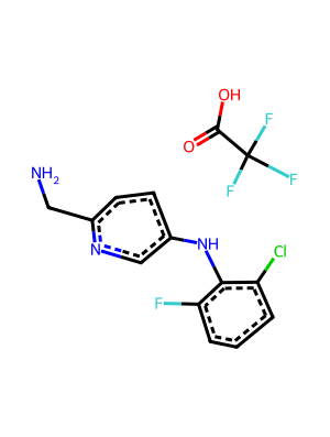 NCc1ccc(Nc2c(F)cccc2Cl)cn1.O=C(O)C(F)(F)F